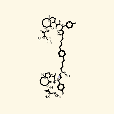 CN[C@@H](C)C(=O)N[C@H]1CCCC[C@H]2CC[C@@H](C(=O)N[C@@H](c3ccc(F)cc3)c3cn(CCCCc4ccc(CCCCN(/C=C/[C@@H](NC(=O)[C@@H]5CC[C@@H]6CCCC[C@H](NC(=O)[C@H](C)NC)C(=O)N65)c5ccc(F)cc5)N=N)cc4)nn3)N2C1=O